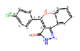 O=c1[nH]nc2c3ccccc3oc(-c3ccc(Cl)cc3)c1-2